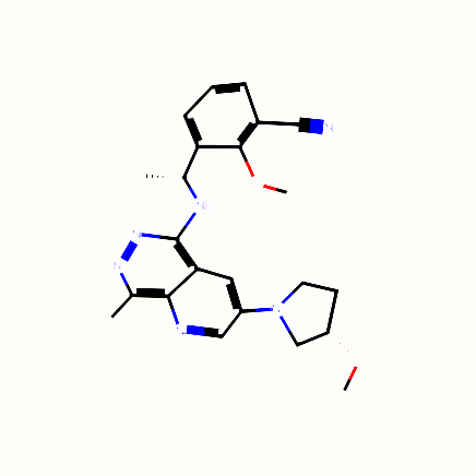 COc1c(C#N)cccc1[C@@H](C)Nc1nnc(C)c2ncc(N3CC[C@H](OC)C3)cc12